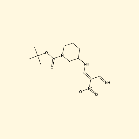 CC(C)(C)OC(=O)N1CCCC(N/C=C(\C=N)[N+](=O)[O-])C1